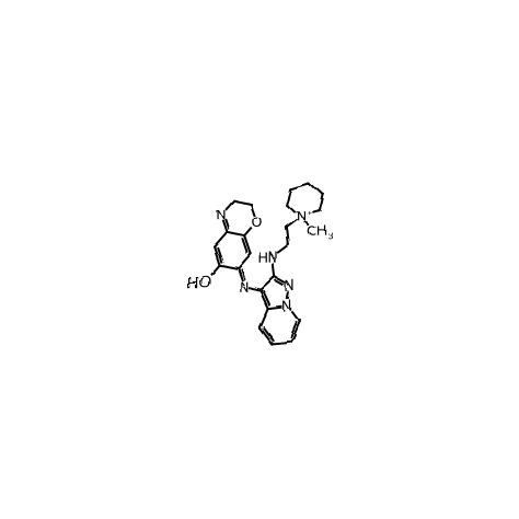 C[N+]1(CCNc2nn3ccccc3c2/N=C2\C=C3OCCN=C3C=C2O)CCCCC1